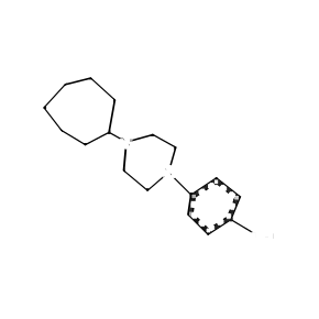 CC(C)(C)c1ccc(N2CCN(C3CCCCCC3)CC2)cc1